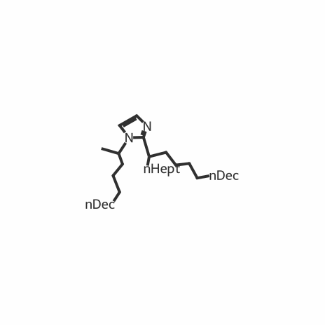 CCCCCCCCCCCCCCC(CCCCCCC)c1nccn1C(C)CCCCCCCCCCCCC